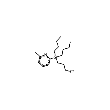 [CH2+]CC[CH2][Sn]([CH2]CCC)([CH2]CCC)[c]1cccc(C)n1